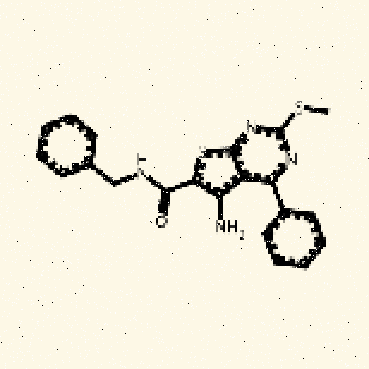 CSc1nc(-c2ccccc2)c2c(N)c(C(=O)NCc3ccccc3)sc2n1